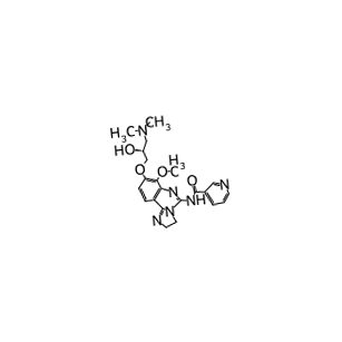 COc1c(OC[C@@H](O)CN(C)C)ccc2c1N=C(NC(=O)c1cccnc1)N1CCN=C21